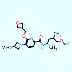 COC1CN(c2ccc(C(=O)N[C@@H](C)CC(C)COCF)nc2OCC2COC2)C1